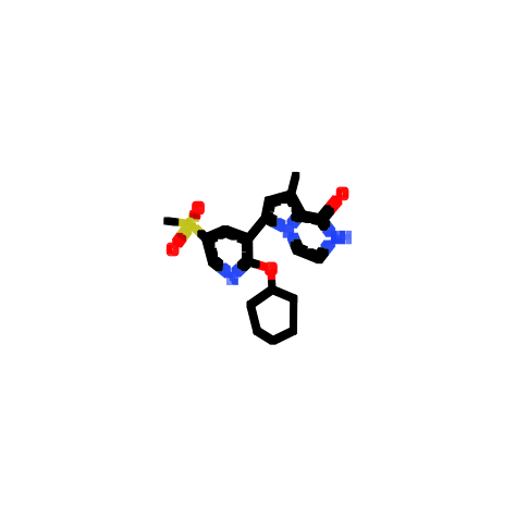 Cc1cc(-c2cc(S(C)(=O)=O)cnc2OC2CCCCC2)n2cc[nH]c(=O)c12